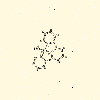 [OH][Sn]([c]1ccccc1)([c]1ccccc1)[c]1ccccc1